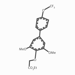 CCOC(=O)COc1c(OC)cc(-c2ccc(OC(F)(F)F)cc2)cc1OC